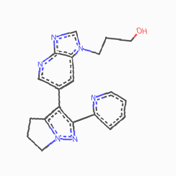 OCCCn1cnc2ncc(-c3c(-c4ccccn4)nn4c3CCC4)cc21